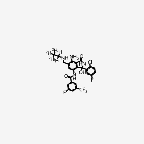 [2H]C([2H])([2H])C([2H])([2H])NCc1cc(NC(=O)c2cc(F)cc(C(F)(F)F)c2)c2c(c1N)C(=O)NC2(O)c1cc(F)ccc1Cl